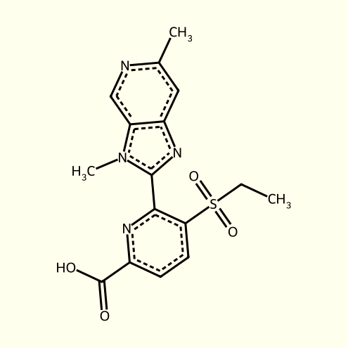 CCS(=O)(=O)c1ccc(C(=O)O)nc1-c1nc2cc(C)ncc2n1C